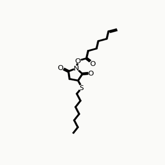 C=CCCCCC(=O)ON1C(=O)CC(SCCCCCCC)C1=O